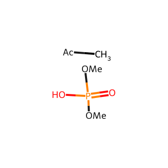 CC(C)=O.COP(=O)(O)OC